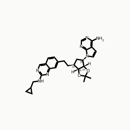 CC1(C)O[C@@H]2[C@@H](CCc3ccc4cnc(NCC5CC5)nc4c3)C[C@@H](n3ccc4c(N)ncnc43)[C@@H]2O1